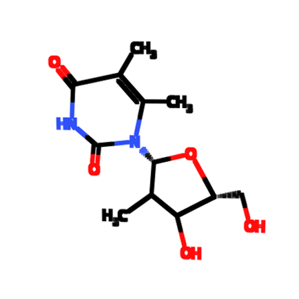 Cc1c(C)n([C@@H]2O[C@H](CO)C(O)C2C)c(=O)[nH]c1=O